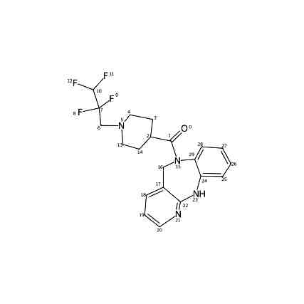 O=C(C1CCN(CC(F)(F)C(F)F)CC1)N1Cc2cccnc2Nc2ccccc21